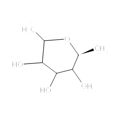 CC1O[C@@H](C)C(O)C(O)C1O